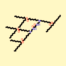 CCCCCCCCC(CCCCCCCC)OC(=O)CCCCCCCN(CCCCCCCC(=O)OC(CCCCCCCC)CCCCCCCC)CCNC(=O)CC(=O)NCCN(CCCCCCCC(=O)OC(CCCCCCCC)CCCCCCCC)CCCCCCCC(=O)OC(CCCCCCCC)CCCCCCCC